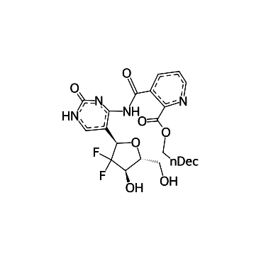 CCCCCCCCCCCOC(=O)c1ncccc1C(=O)Nc1nc(=O)[nH]cc1[C@H]1O[C@H](CO)[C@@H](O)C1(F)F